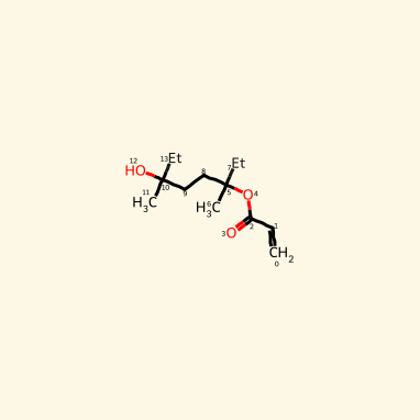 C=CC(=O)OC(C)(CC)CCC(C)(O)CC